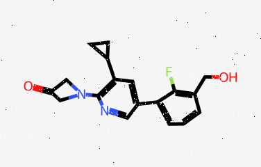 O=C1CN(c2ncc(-c3cccc(CO)c3F)cc2C2CC2)C1